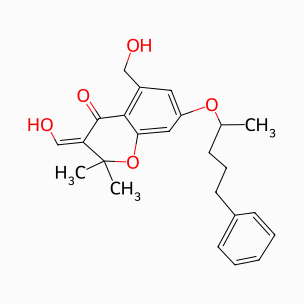 CC(CCCc1ccccc1)Oc1cc(CO)c2c(c1)OC(C)(C)C(=CO)C2=O